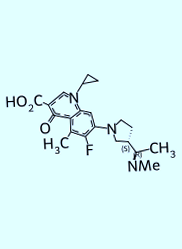 CN[C@H](C)[C@H]1CCN(c2cc3c(c(C)c2F)c(=O)c(C(=O)O)cn3C2CC2)C1